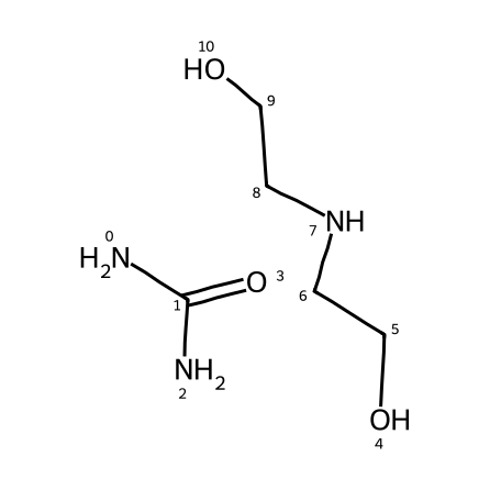 NC(N)=O.OCCNCCO